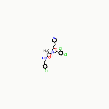 CC(CC(=O)NCCc1ccc(Cl)cc1)C(=O)N(CCc1ccc(Cl)cc1Cl)CC(=O)CCc1ccncc1